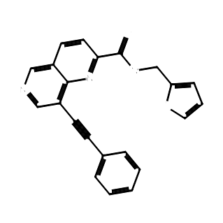 O=C(NCc1ccco1)c1ccc2cncc(C#Cc3ccccc3)c2n1